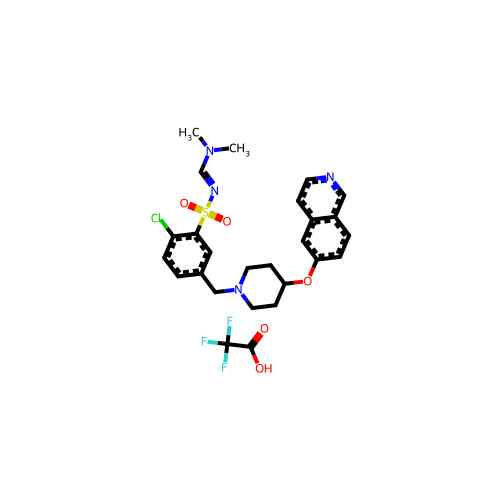 CN(C)C=NS(=O)(=O)c1cc(CN2CCC(Oc3ccc4cnccc4c3)CC2)ccc1Cl.O=C(O)C(F)(F)F